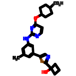 Cc1cc(Nc2nccc(OC3CCC(C(=O)O)CC3)n2)cc(-c2cnc(C3(O)CCC3)s2)c1